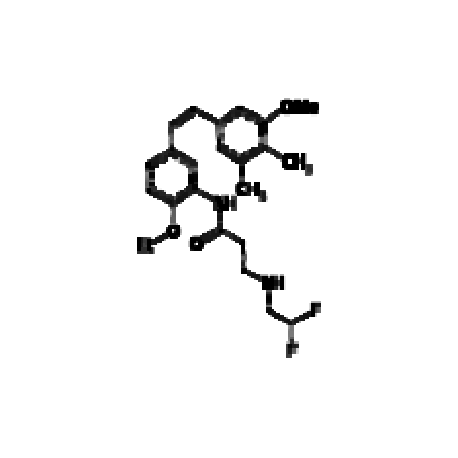 CCOc1ccc(/C=C\c2cc(C)c(C)c(OC)c2)cc1NC(=O)CCNCC(F)F